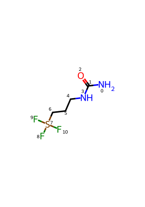 NC(=O)NCCCS(F)(F)F